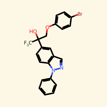 OC(COc1ccc(Br)cc1)(c1ccc2c(cnn2-c2ccccc2)c1)C(F)(F)F